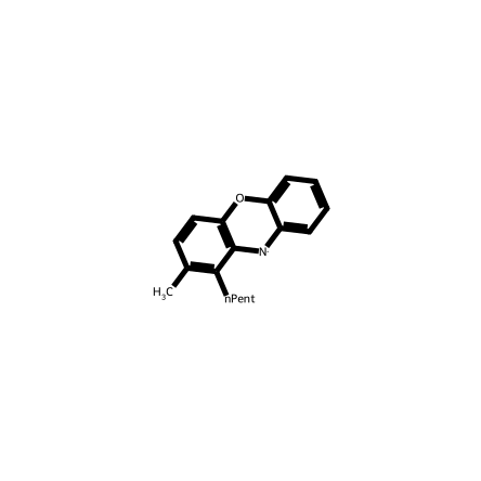 CCCCCc1c(C)ccc2c1[N]c1ccccc1O2